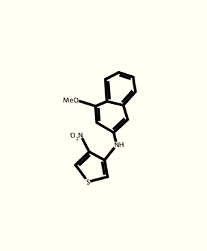 COc1cc(Nc2cscc2[N+](=O)[O-])cc2ccccc12